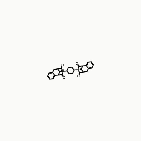 O=C1C2=Cc3ccccc3C(C(=O)N1C1CCC(N3C(=O)C4=Cc5ccccc5C(C3=O)C4=S)CC1)C2=S